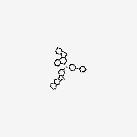 c1ccc(-c2ccc(N(c3ccc4c(c3)oc3cc5ccccc5cc34)c3cc4ccc5ccccc5c4c4ccccc34)cc2)cc1